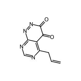 C=CCc1ncnc2c1C(=O)C(=O)N=N2